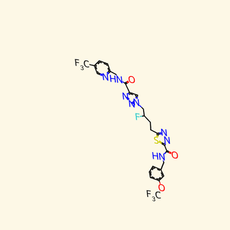 O=C(NCc1ccc(C(F)(F)F)cn1)c1cn(CC(F)CCc2nnc(C(=O)NCc3cccc(OC(F)(F)F)c3)s2)nn1